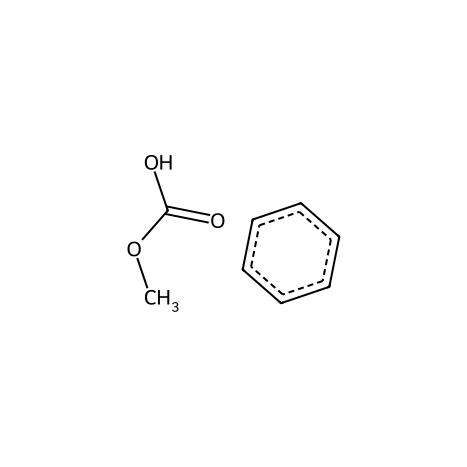 COC(=O)O.c1ccccc1